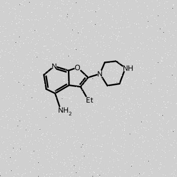 CCc1c(N2CCNCC2)oc2nccc(N)c12